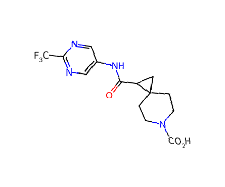 O=C(Nc1cnc(C(F)(F)F)nc1)C1CC12CCN(C(=O)O)CC2